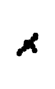 c1ccc(-c2ccc(-c3nc(-c4ccc5c(ccc6ccccc65)c4)nc(-c4cccc5oc6c(-c7ccc(-c8ccc9ccccc9c8)cc7)cccc6c45)n3)cc2)cc1